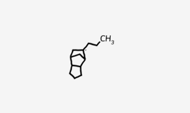 CCC[C]1CC2CC1C1CCCC21